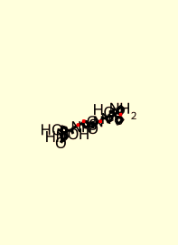 NC(=O)C(c1ccccc1)(c1ccccc1)C1CCN(CCNCS(=O)(=O)c2ccc(CNCC(O)c3ccc(O)c4[nH]c(=O)ccc34)cc2)C1